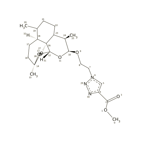 COC(=O)c1cn(CCO[C@H]2O[C@@H]3O[C@]4(C)CC[C@H]5C(C)CCC([C@H]2C)[C@@]35OO4)nn1